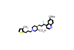 COc1ccc2nccc([C@H](F)CC[C@@H]3CCN(CCCc4sccc4C)C[C@@H]3C(=O)O)c2c1